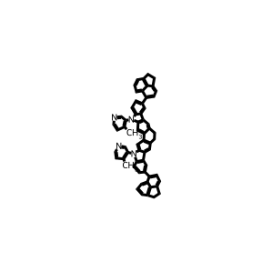 Cc1ccncc1-n1c2ccc(-c3ccc4c5c(cccc35)CC4)cc2c2cc3c(cc21)-c1cc2c(cc1CC3)c1cc(-c3ccc4c5c(cccc35)CC4)ccc1n2-c1cnccc1C